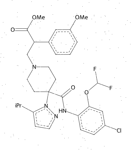 COC(=O)C(CN1CCC(C(=O)Nc2ccc(Cl)cc2OC(F)F)(n2nccc2C(C)C)CC1)c1cccc(OC)c1